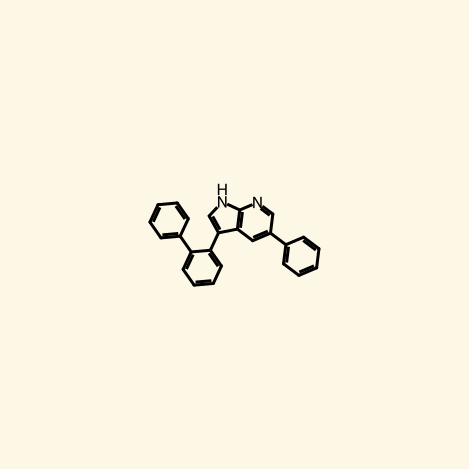 c1ccc(-c2cnc3[nH]cc(-c4ccccc4-c4ccccc4)c3c2)cc1